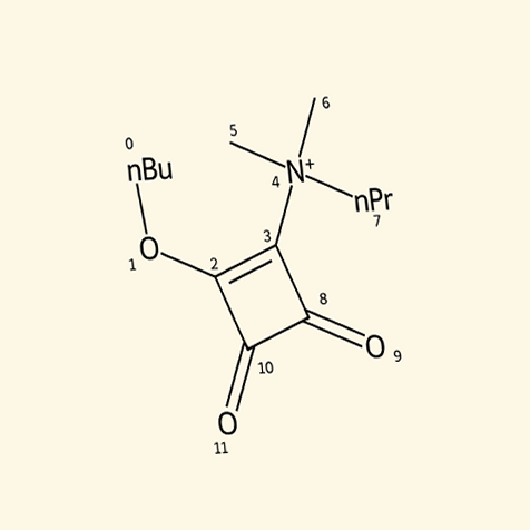 CCCCOc1c([N+](C)(C)CCC)c(=O)c1=O